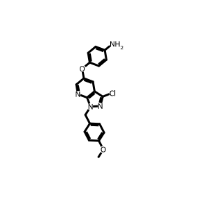 COc1ccc(Cn2nc(Cl)c3cc(Oc4ccc(N)cc4)cnc32)cc1